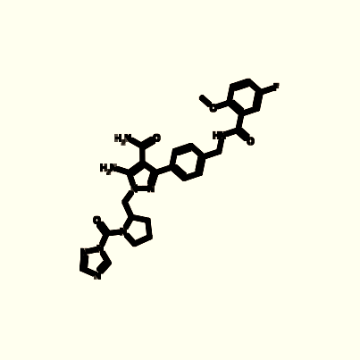 COc1ccc(F)cc1C(=O)NCc1ccc(-c2nn(CC3CCCN3C(=O)n3cncn3)c(N)c2C(N)=O)cc1